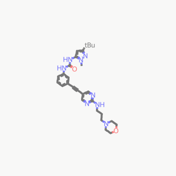 Cn1nc(C(C)(C)C)cc1NC(=O)Nc1cccc(C#Cc2cnc(NCCCN3CCOCC3)nc2)c1